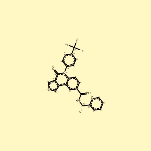 C[C@H](NC(=O)c1ccc2c(c1)c1cscc1c(=O)n2-c1ccc(C(F)(F)F)nc1)c1ccccn1